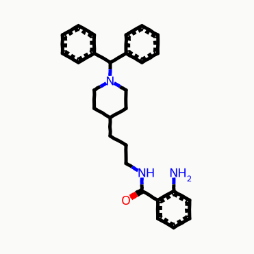 Nc1ccccc1C(=O)NCCCC1CCN(C(c2ccccc2)c2ccccc2)CC1